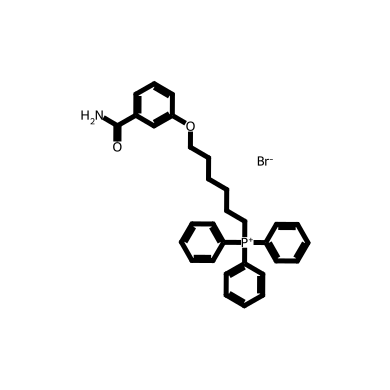 NC(=O)c1cccc(OCCCCCC[P+](c2ccccc2)(c2ccccc2)c2ccccc2)c1.[Br-]